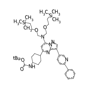 CC(C)(C)OC(=O)NC1CCC(c2cc(N(COCC[Si](C)(C)C)COCC[Si](C)(C)C)n3ncc(-c4ccc(-c5ccccc5)nc4)c3n2)CC1